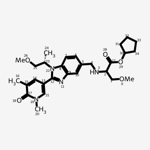 COCC(NCc1ccc2c(c1)nc(-c1cc(C)c(=O)n(C)c1)n2[C@@H](C)COC)C(=O)OC1CCCC1